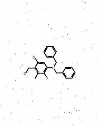 Cc1c(F)c(N(Cc2ccccc2)Cc2ccccc2)cc(Cl)c1CCl